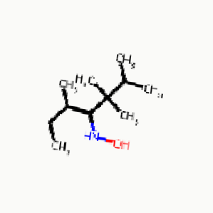 CCC(C)C(NO)C(C)(C)C(C)C